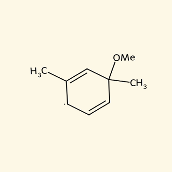 COC1(C)C=C[CH]C(C)=C1